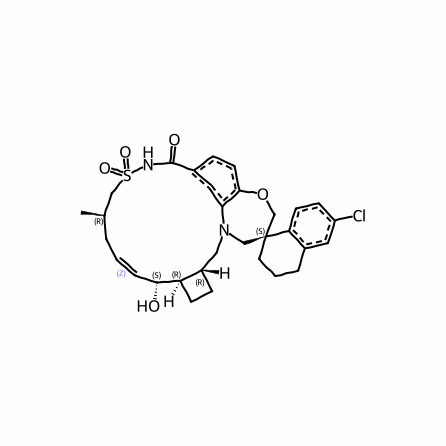 C[C@@H]1C/C=C\[C@@H](O)[C@@H]2CC[C@H]2CN2C[C@@]3(CCCc4cc(Cl)ccc43)COc3ccc(cc32)C(=O)NS(=O)(=O)C1